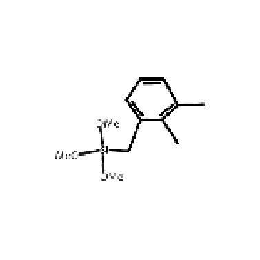 CO[Si](Cc1cccc(C)c1C)(OC)OC